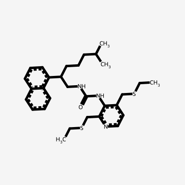 CCSCc1ccnc(CSCC)c1NC(=O)NCC(CCCC(C)C)c1cccc2ccccc12